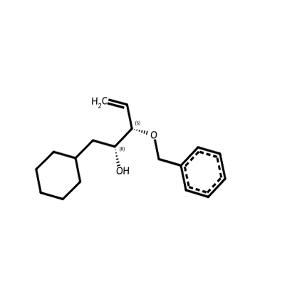 C=C[C@H](OCc1ccccc1)[C@H](O)CC1CCCCC1